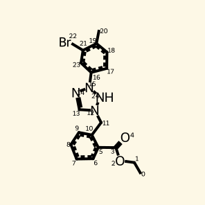 CCOC(=O)c1ccccc1CN1C=NN(c2ccc(C)c(Br)c2)N1